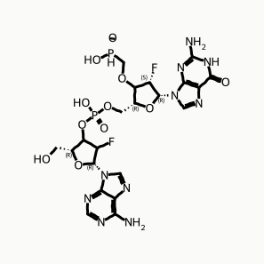 Nc1nc2c(ncn2[C@@H]2O[C@H](COP(=O)(O)OC3C(F)[C@H](n4cnc5c(N)ncnc54)O[C@@H]3CO)C(OC[PH](=O)O)[C@@H]2F)c(=O)[nH]1